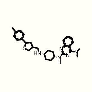 Cc1ccc(C2CC(CN[C@H]3CC[C@@H](Nc4nc(N(C)C)c5ccccc5n4)CC3)CS2)cc1